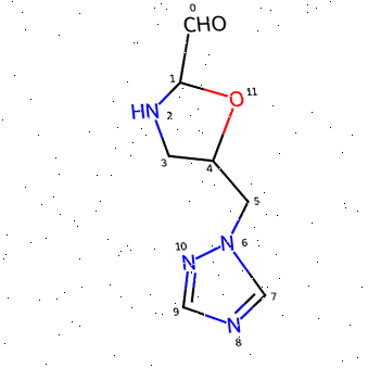 O=CC1NCC(Cn2cncn2)O1